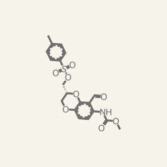 COC(=O)Nc1ccc2c(c1C=O)O[C@@H](COS(=O)(=O)c1ccc(C)cc1)CO2